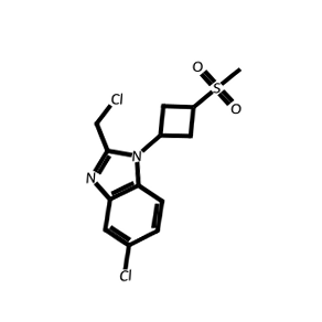 CS(=O)(=O)C1CC(n2c(CCl)nc3cc(Cl)ccc32)C1